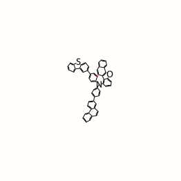 c1ccc2c(c1)ccc1cc(-c3ccc(N(c4ccc(-c5ccc6sc7ccccc7c6c5)cc4)c4cccc5oc6c7ccccc7ccc6c45)cc3)ccc12